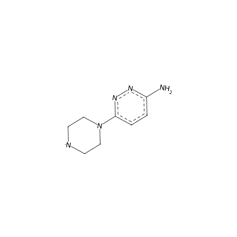 Nc1ccc(N2CC[N]CC2)nn1